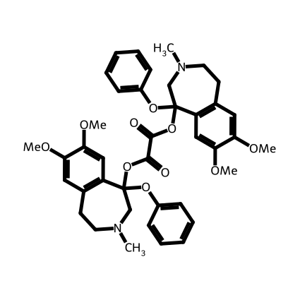 COc1cc2c(cc1OC)C(OC(=O)C(=O)OC1(Oc3ccccc3)CN(C)CCc3cc(OC)c(OC)cc31)(Oc1ccccc1)CN(C)CC2